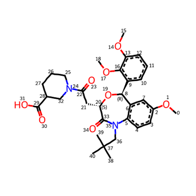 COc1ccc2c(c1)[C@H](c1cccc(OC)c1OC)O[C@@H](CC(=O)N1CCCC(C(=O)O)C1)C(=O)N2CC(C)(C)C